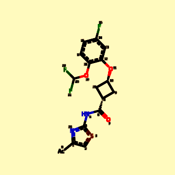 CC(=O)c1csc(NC(=O)[C@H]2C[C@H](Oc3cc(F)ccc3OC(F)F)C2)n1